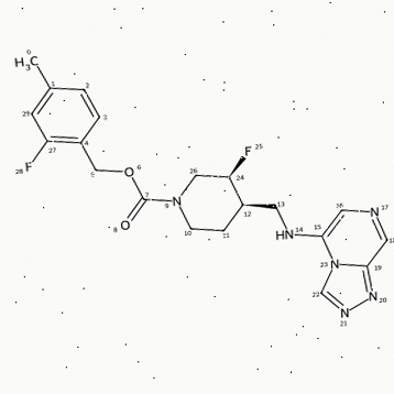 Cc1ccc(COC(=O)N2CC[C@H](CNc3cncc4nncn34)[C@H](F)C2)c(F)c1